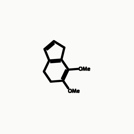 COC1=C(OC)C2=C(C=CC2)CC1